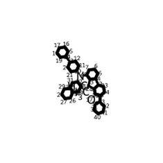 CC1(C)c2c(cccc2N(c2ccc(-c3ccccc3)cc2)c2ccc3ccccc3c2)-c2ccc3c(oc4ccccc43)c21